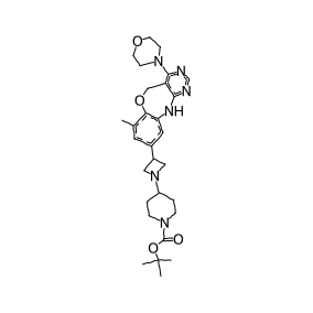 Cc1cc(C2CN(C3CCN(C(=O)OC(C)(C)C)CC3)C2)cc2c1OCc1c(ncnc1N1CCOCC1)N2